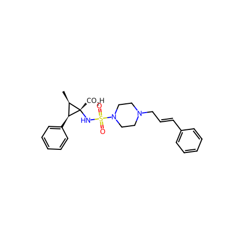 C[C@@H]1[C@H](c2ccccc2)[C@]1(NS(=O)(=O)N1CCN(C/C=C/c2ccccc2)CC1)C(=O)O